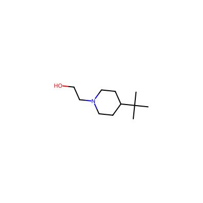 CC(C)(C)C1CCN(CCO)CC1